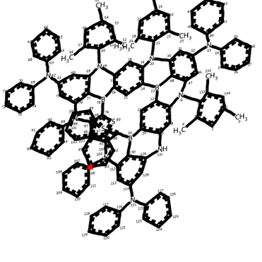 Cc1cc(C)c(N2c3cc4c(cc3B3c5cc6c(cc5N(c5c(C)cc(C)cc5C)c5cc(N(c7ccccc7)c7ccccc7)cc2c53)N(c2c(C)cc(C)cc2C)c2cc(N(c3ccccc3)c3ccccc3)cc3c2B6c2sc5ccccc5c2N3c2ccccc2)B2c3sc5ccccc5c3N(c3ccccc3)c3cc(N(c5ccccc5)c5ccccc5)cc(c32)N4)c(C)c1